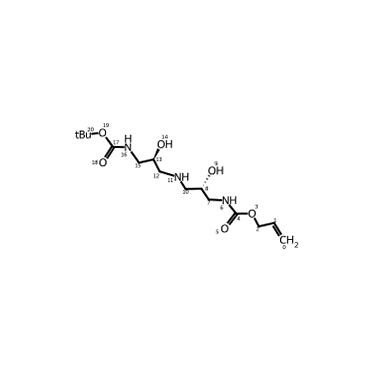 C=CCOC(=O)NC[C@@H](O)CNC[C@H](O)CNC(=O)OC(C)(C)C